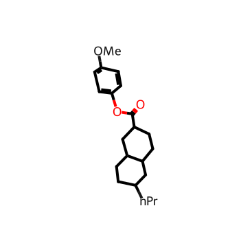 CCCC1CCC2CC(C(=O)Oc3ccc(OC)cc3)CCC2C1